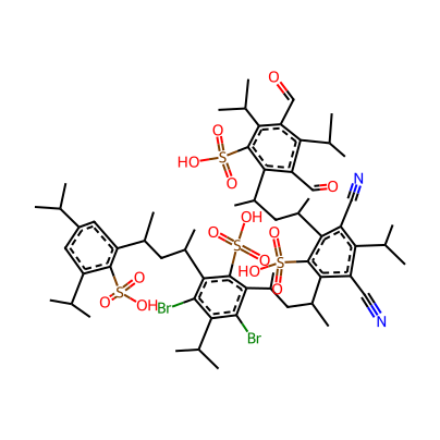 CC(C)c1cc(C(C)C)c(S(=O)(=O)O)c(C(C)CC(C)c2c(Br)c(C(C)C)c(Br)c(C(C)CC(C)c3c(C#N)c(C(C)C)c(C#N)c(C(C)CC(C)c4c(C=O)c(C(C)C)c(C=O)c(C(C)C)c4S(=O)(=O)O)c3S(=O)(=O)O)c2S(=O)(=O)O)c1